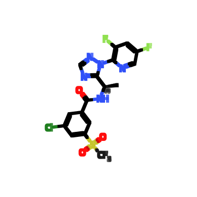 C[C@@H](NC(=O)c1cc(Cl)cc(S(=O)(=O)C(F)(F)F)c1)c1ncnn1-c1ncc(F)cc1F